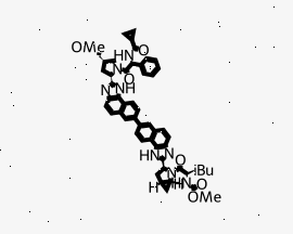 CC[C@H](C)[C@H](NC(=O)OC)C(=O)N1[C@@H]2C[C@@H]2C[C@H]1c1nc2ccc3cc(-c4ccc5c(ccc6nc([C@@H]7C[C@H](COC)CN7C(=O)[C@H](NC(=O)C7CC7)c7ccccc7)[nH]c65)c4)ccc3c2[nH]1